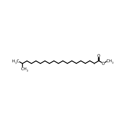 COC(=O)[CH]CCCCCCCCCCCCCCCC(C)C